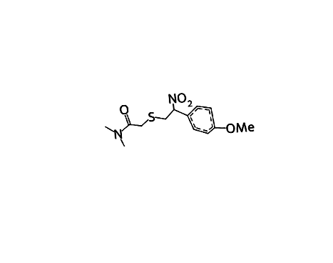 COc1ccc(C(CSCC(=O)N(C)C)[N+](=O)[O-])cc1